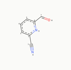 N#Cc1cccc(C=O)n1